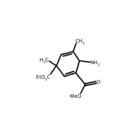 CCOC(=O)C1(C)C=C(C)C(N)C(C(=O)OC)=C1